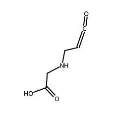 O=C=CCNCC(=O)O